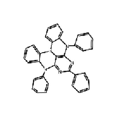 c1ccc(-c2nc3c4c(n2)N(c2ccccc2)c2ccccc2B4c2ccccc2N3c2ccccc2)cc1